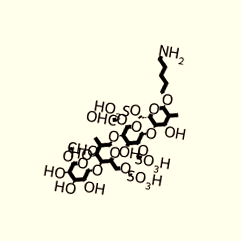 CC1C(O)[C@H](O[C@@H]2O[C@@H](OC=O)[C@@H](O[C@H]3OC(COS(=O)(=O)O)[C@@H](O[C@@H]4OC(OC=O)[C@@H](O)[C@@H](O)C4O)[C@H](O)C3C)C(O)C2OS(=O)(=O)O)[C@H](COS(=O)(=O)O)O[C@@H]1OCCCCCN